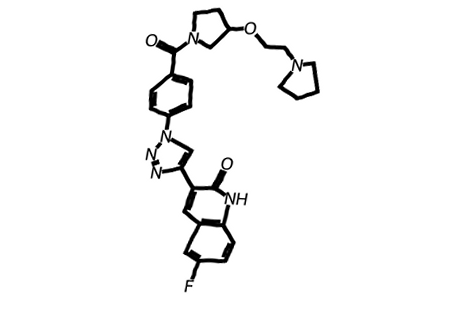 O=C(c1ccc(-n2cc(-c3cc4cc(F)ccc4[nH]c3=O)nn2)cc1)N1CCC(OCCN2CCCC2)C1